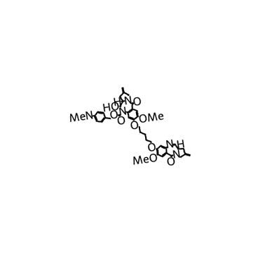 C=C1C[C@H]2C=Nc3cc(OCCCCCOc4cc5c(cc4OC)C(=O)N4CC(=C)C[C@H]4[C@H](O)N5C(=O)OCc4ccc(NC)cc4)c(OC)cc3C(=O)N2C1